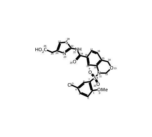 COc1ccc(Cl)cc1S(=O)(=O)N1COCc2ccc(C(=O)Nc3nc(CC(=O)O)cs3)cc21